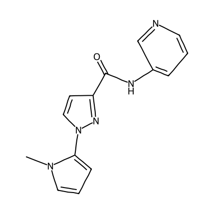 Cn1cccc1-n1ccc(C(=O)Nc2cccnc2)n1